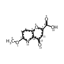 COc1ccc2oc(C(=O)O)cc(=O)c2n1